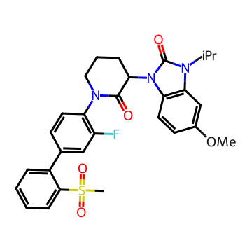 COc1ccc2c(c1)n(C(C)C)c(=O)n2C1CCCN(c2ccc(-c3ccccc3S(C)(=O)=O)cc2F)C1=O